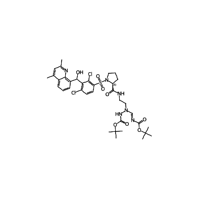 Cc1cc(C)c2cccc(C(O)c3c(Cl)ccc(S(=O)(=O)N4CCC[C@H]4C(=O)NCCN(C=NC(=O)OC(C)(C)C)NC(=O)OC(C)(C)C)c3Cl)c2n1